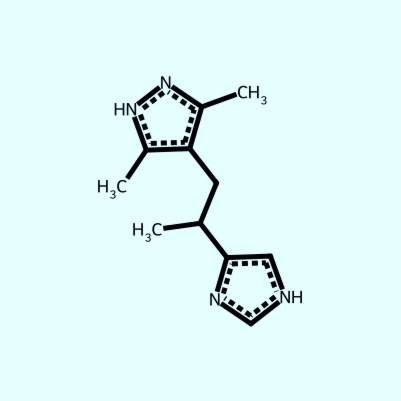 Cc1n[nH]c(C)c1CC(C)c1c[nH]cn1